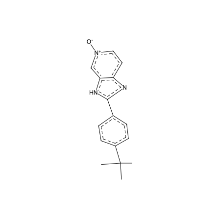 CC(C)(C)c1ccc(-c2nc3cc[n+]([O-])cc3[nH]2)cc1